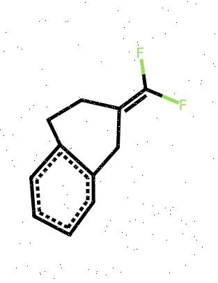 FC(F)=C1CCc2ccccc2C1